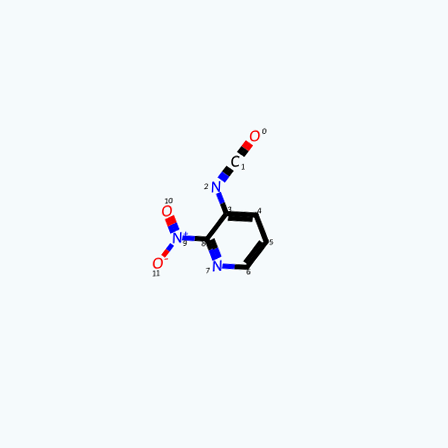 O=C=Nc1cccnc1[N+](=O)[O-]